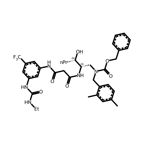 CCC[C@H](O)[C@H](CN(Cc1ccc(C)cc1C)C(=O)OCc1ccccc1)NC(=O)CC(=O)Nc1cc(NC(=O)NCC)cc(C(F)(F)F)c1